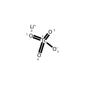 [Li+].[O]=[Tc](=[O])(=[O])[O-]